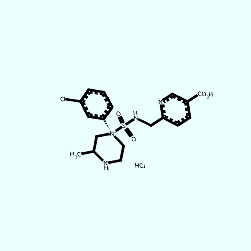 CC1C[N@@+](c2cccc(Cl)c2)(S(=O)(=O)NCc2ccc(C(=O)O)cn2)CCN1.Cl